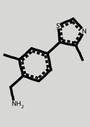 Cc1cc(-c2scnc2C)ccc1CN